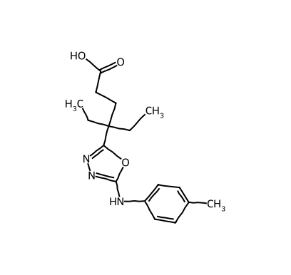 CCC(CC)(CCC(=O)O)c1nnc(Nc2ccc(C)cc2)o1